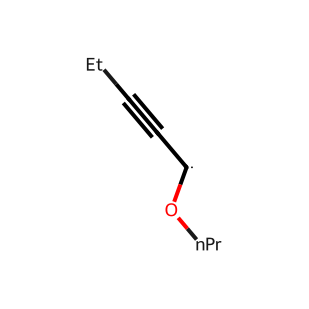 CCC#C[CH]OCCC